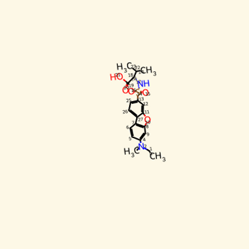 CCN(C)c1ccc2c(c1)oc1cc(S(=O)(=O)N[C@H](C(=O)O)C(C)C)ccc12